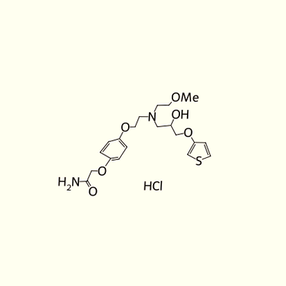 COCCN(CCOc1ccc(OCC(N)=O)cc1)CC(O)COc1ccsc1.Cl